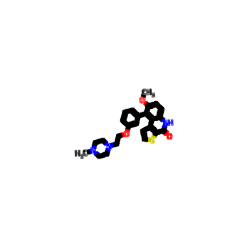 COc1ccc2[nH]c(=O)c3sccc3c2c1-c1cccc(OCCN2CCN(C)CC2)c1